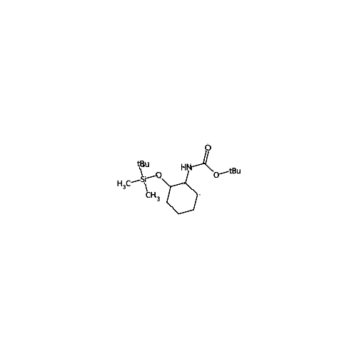 CC(C)(C)OC(=O)NC1[CH]CCCC1O[Si](C)(C)C(C)(C)C